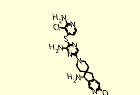 COc1cc2c(cn1)[C@@H](N)C1(CCN(c3cnc(Sc4ccnc(N)c4Cl)c(N)n3)CC1)C2